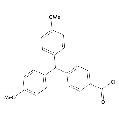 COc1ccc(C(c2ccc(OC)cc2)c2ccc(C(=O)Cl)cc2)cc1